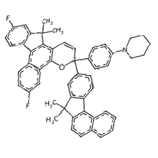 CC1(C)c2cc(C3(c4ccc(N5CCCCC5)cc4)C=Cc4c5c(c6ccc(F)cc6c4O3)-c3ccc(F)cc3C5(C)C)ccc2-c2c1ccc1ccccc21